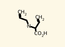 C=CC[N]C(C=C)C(=O)O